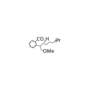 COCC(CCCCC(C)C)c1ccccc1C(=O)O